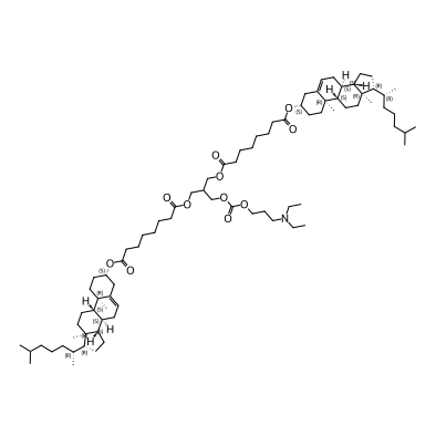 CCN(CC)CCCOC(=O)OCC(COC(=O)CCCCCCC(=O)O[C@H]1CC[C@@]2(C)C(=CC[C@H]3[C@@H]4CC[C@H]([C@H](C)CCCC(C)C)[C@@]4(C)CC[C@@H]32)C1)COC(=O)CCCCCCC(=O)O[C@H]1CC[C@@]2(C)C(=CC[C@H]3[C@@H]4CC[C@H]([C@H](C)CCCC(C)C)[C@@]4(C)CC[C@@H]32)C1